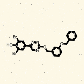 Oc1c(Br)cc(-c2cnc(OCc3cccc(OCc4ccccc4)c3)nn2)cc1Br